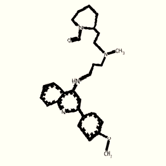 COc1ccc(-c2cc(NCCCN(C)CCC3CCCCN3[C]=O)c3ccccc3n2)cc1